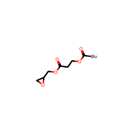 CCC(C)C(=O)OCCC(=O)OCC1CO1